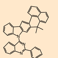 CC1(C)c2cc3c(cc2-c2cccc4cccc1c24)c1ccccc1n3-c1nc(-c2ccccc2)nc2ccccc12